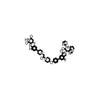 O=C1CCC(Nc2ccc(C3CCN(CC(=O)N4CCC(Oc5ccc(-c6cc(F)c7c(c6)C(=O)N(C(C(=O)Nc6nccs6)c6ncn8c6CCC8)C7)cc5)CC4)CC3)cc2F)C(=O)N1